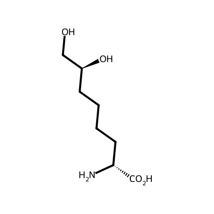 N[C@H](CCCC[C@H](O)CO)C(=O)O